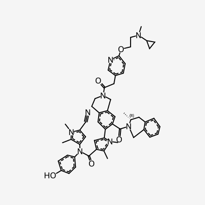 Cc1c(N(C(=O)c2cc(-c3cc4c(cc3C(=O)N3Cc5ccccc5C[C@H]3C)CN(C(=O)Cc3ccc(OCCN(C)C5CC5)nc3)CC4)n(C)c2C)c2ccc(O)cc2)cc(C#N)n1C